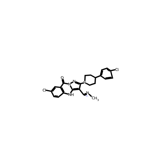 C/N=C/c1c(N2CCC(c3ccc(Cl)cc3)CC2)nn2c(=O)c3cc(Cl)ccc3[nH]c12